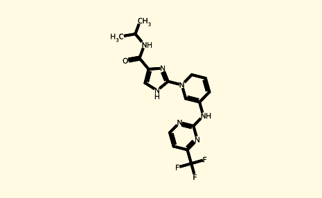 CC(C)NC(=O)c1c[nH]c(N2C=C(Nc3nccc(C(F)(F)F)n3)C=CC2)n1